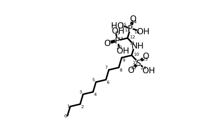 CCCCCCCCCCC(NC(P(=O)(O)O)P(=O)(O)O)S(=O)(=O)O